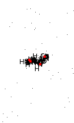 Cc1cccnc1-c1nc2cc(Nc3ccnc(N4C[C@@H]5C[C@H]4CN5)n3)ncc2s1